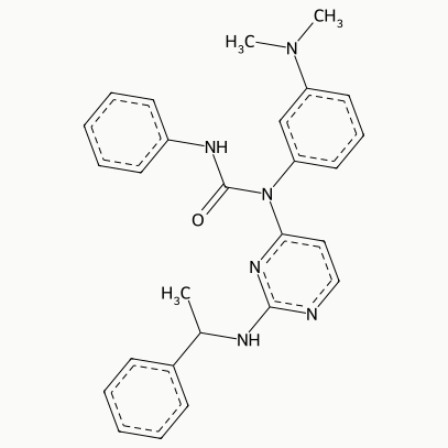 CC(Nc1nccc(N(C(=O)Nc2ccccc2)c2cccc(N(C)C)c2)n1)c1ccccc1